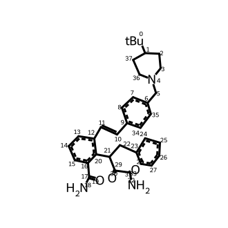 CC(C)(C)C1CCN(Cc2ccc(C=Cc3cccc(C(N)=O)c3C(Cc3ccccc3)C(=O)C(N)=O)cc2)CC1